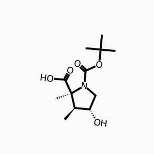 C[C@@H]1[C@@H](O)CN(C(=O)OC(C)(C)C)[C@]1(C)C(=O)O